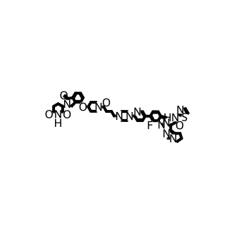 O=C1CCC(N2Cc3c(OC4CCN(C(=O)CCCN5CCN(c6ccc(-c7ccc8cn(C(C(=O)Nc9nccs9)c9ncn%10c9CCC%10)nc8c7F)cn6)CC5)CC4)cccc3C2=O)C(=O)N1